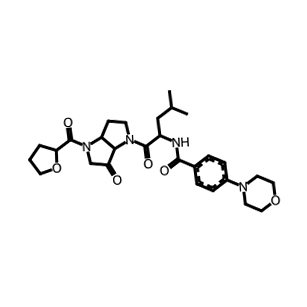 CC(C)CC(NC(=O)c1ccc(N2CCOCC2)cc1)C(=O)N1CCC2C1C(=O)CN2C(=O)C1CCCO1